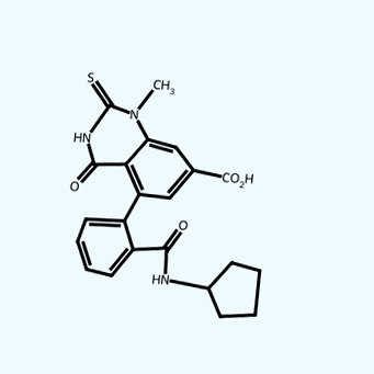 Cn1c(=S)[nH]c(=O)c2c(-c3ccccc3C(=O)NC3CCCC3)cc(C(=O)O)cc21